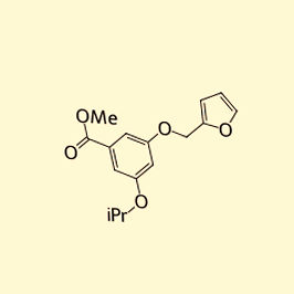 COC(=O)c1cc(OCc2ccco2)cc(OC(C)C)c1